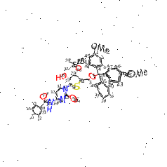 COc1ccc(C(OC[C@H]2S[C@@H](n3ccc(NC(=O)c4ccccc4)nc3=O)[C@H](O)[C@@H]2O[Si](C)(C)C(C)(C)C)(c2ccccc2)c2ccc(OC)cc2)cc1